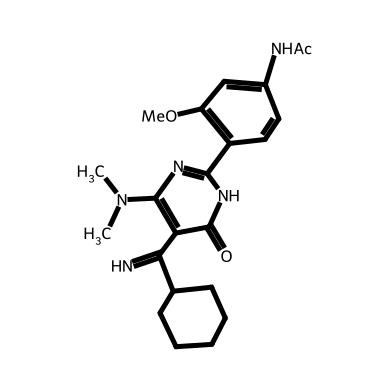 COc1cc(NC(C)=O)ccc1-c1nc(N(C)C)c(C(=N)C2CCCCC2)c(=O)[nH]1